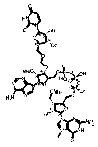 COC[C@H]1[C@@H](O)[C@H](n2c[n+](C)c3c(=O)[nH]c(N)nc32)O[C@@H]1COP(=O)([O-])OP(=O)(O)OP(=O)(O)OCC1O[C@@H](n2cnc3c(N)ncnc32)[C@H](OC)[C@@H]1OCOC[C@H]1O[C@@H](n2ccc(=O)[nH]c2=O)[C@H](O)[C@@H]1O